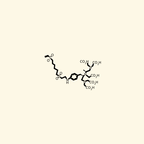 C=CS(=O)(=O)CCCCCCS(=O)(=O)CCNc1ccc(C[C@H](CN(CC(=O)O)CC(=O)O)N(CC(=O)O)[C@@H](C)CN(CC(=O)O)CC(=O)O)cc1